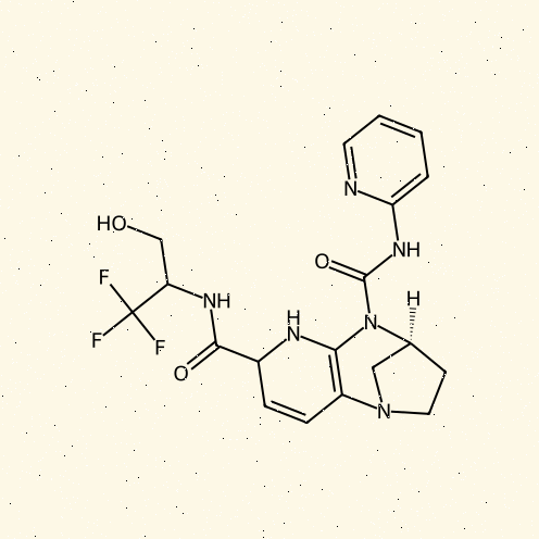 O=C(NC(CO)C(F)(F)F)C1C=CC2=C(N1)N(C(=O)Nc1ccccn1)[C@H]1CCN2C1